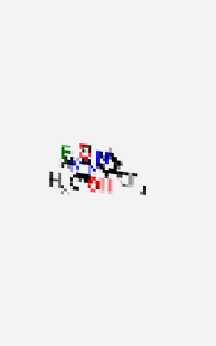 CC1C(O)N(c2cc(C(F)(F)F)ccn2)C(=O)N1C(F)F